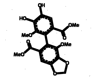 COC(=O)c1cc(O)c(O)c(OC)c1-c1c(C(=O)OC)cc2c(c1OC)OCO2